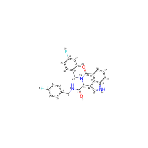 O=C(NCc1ccc(F)cc1)C1c2c[nH]c3cccc(c23)C(=O)N1Cc1ccc(F)cc1